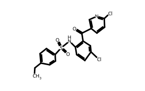 CCc1ccc(S(=O)(=O)Nc2ccc(Cl)cc2C(=O)c2ccc(Cl)nc2)cc1